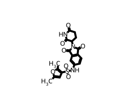 Cc1cc(S(=O)(=O)Nc2ccc3c(c2)C(=O)N(C2CCC(=O)NC2=O)C3=O)c(C)o1